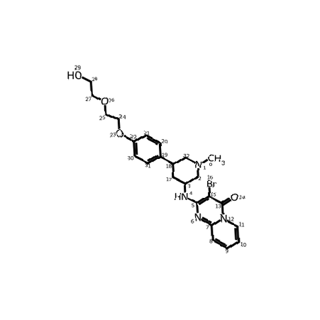 CN1CC(Nc2nc3ccccn3c(=O)c2Br)CC(c2ccc(OCCOCCO)cc2)C1